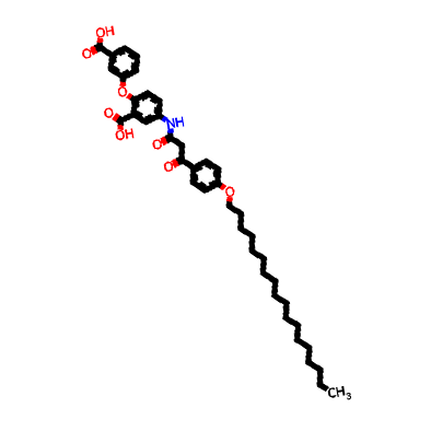 CCCCCCCCCCCCCCCCCCOc1ccc(C(=O)CC(=O)Nc2ccc(Oc3cccc(C(=O)O)c3)c(C(=O)O)c2)cc1